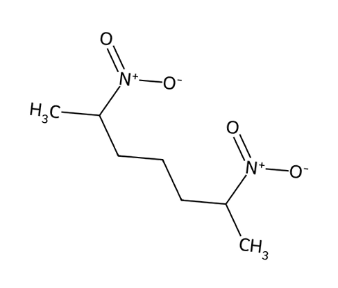 CC(CCCC(C)[N+](=O)[O-])[N+](=O)[O-]